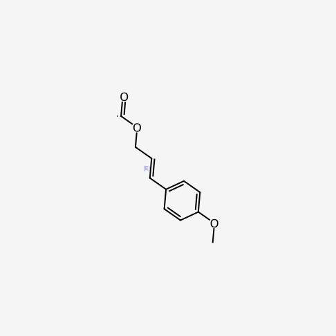 COc1ccc(/C=C/CO[C]=O)cc1